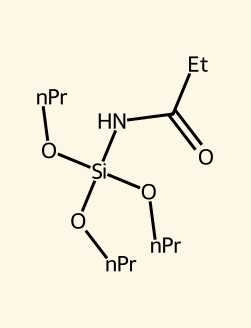 CCCO[Si](NC(=O)CC)(OCCC)OCCC